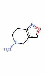 NN1CCc2nocc2C1